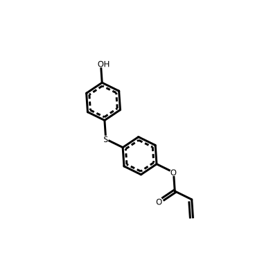 C=CC(=O)Oc1ccc(Sc2ccc(O)cc2)cc1